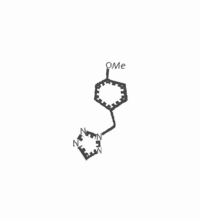 COc1ccc(Cn2n[c]nn2)cc1